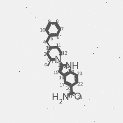 C[C@H]1C[C@@H](Cc2ccccc2)CCN1c1cc2cc(C(N)=O)ccc2[nH]1